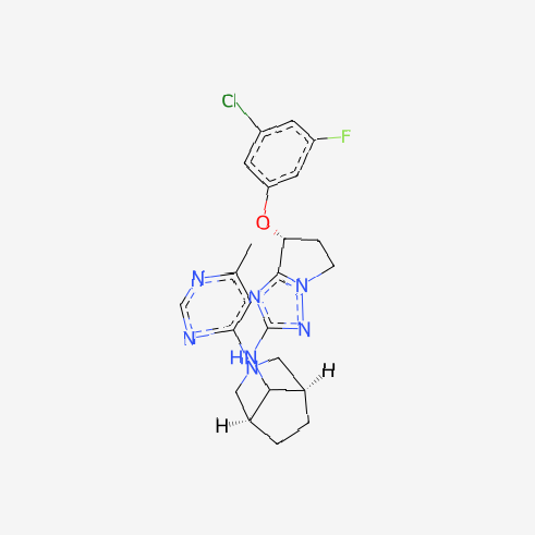 Cc1cc(N2C[C@H]3CC[C@@H](C2)C3Nc2nc3n(n2)CC[C@H]3Oc2cc(F)cc(Cl)c2)ncn1